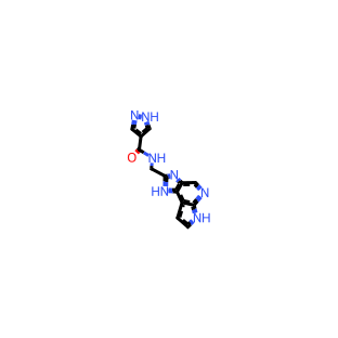 O=C(NCc1nc2cnc3[nH]ccc3c2[nH]1)c1cn[nH]c1